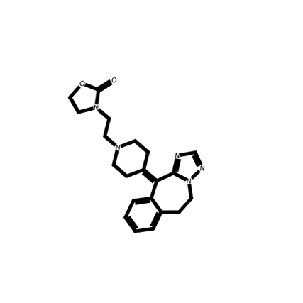 O=C1OCCN1CCN1CCC(=C2c3ccccc3CCn3ncnc32)CC1